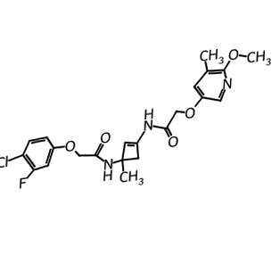 COc1ncc(OCC(=O)NC2=CC(C)(NC(=O)COc3ccc(Cl)c(F)c3)C2)cc1C